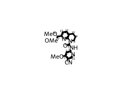 COc1cc(NC(=O)N2CCCc3ccc(C(OC)OC)nc32)ncc1C#N